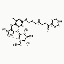 Cc1cc(OCCCNCCC(=O)N2CCNCC2)ccc1Cc1c(O[C@@H]2O[C@H](CO)[C@@H](O)[C@H](O)[C@H]2O)n[nH]c1C(C)C